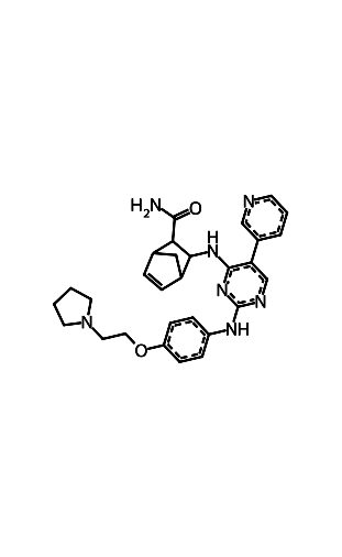 NC(=O)C1C2C=CC(C2)C1Nc1nc(Nc2ccc(OCCN3CCCC3)cc2)ncc1-c1cccnc1